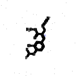 COC(=O)/C(=C\c1ccc(OC(F)F)c(Cl)c1)CN=[N+]=[N-]